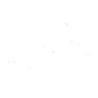 Cn1nc(C(C)(C)C)cc1C(=O)c1cc(C#N)ccc1-c1ncc(CCNC(=O)OC(C)(C)C)cn1